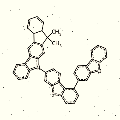 CC1(C)c2cc3c(cc2C2C=CC=CC21)c1ccccc1n3-c1ccc2c(c1)sc1cccc(-c3ccc4c(c3)oc3ccccc34)c12